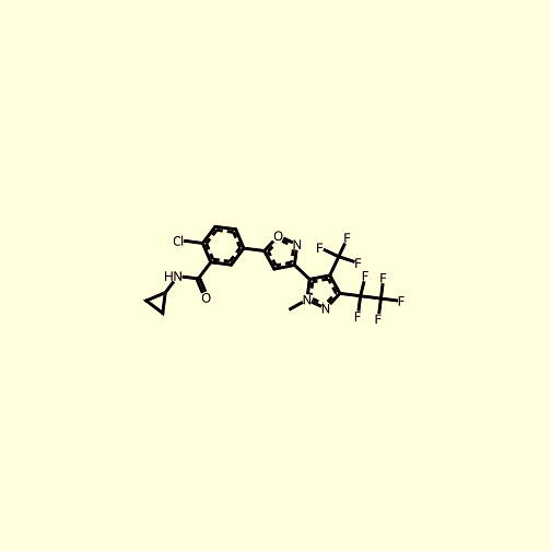 Cn1nc(C(F)(F)C(F)(F)F)c(C(F)(F)F)c1-c1cc(-c2ccc(Cl)c(C(=O)NC3CC3)c2)on1